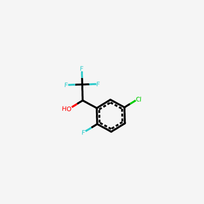 OC(c1cc(Cl)ccc1F)C(F)(F)F